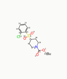 CC(C)(C)OC(=O)N1CCC(S(=O)(=O)c2ccccc2Cl)CC1